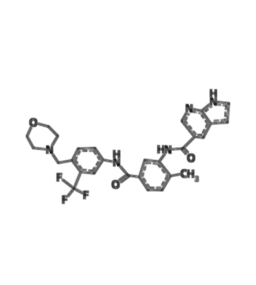 Cc1ccc(C(=O)Nc2ccc(CN3CCOCC3)c(C(F)(F)F)c2)cc1NC(=O)c1cnc2[nH]ccc2c1